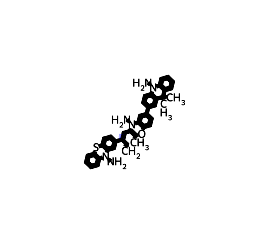 C=C/C(=C\C1=C(C)Oc2ccc(-c3ccc4c(c3)C(C)(C)c3ccccc3N4N)cc2N1N)c1ccc2c(c1)N(N)c1ccccc1S2